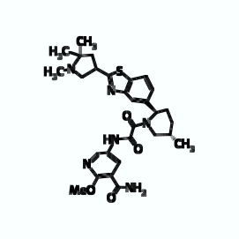 COc1ncc(NC(=O)C(=O)N2C[C@@H](C)CC[C@@H]2c2ccc3sc(C4CN(C)C(C)(C)C4)nc3c2)cc1C(N)=O